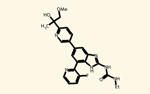 CCNC(=O)Nc1nc2cc(-c3ccc(C(C)(O)COC)nc3)cc(-c3ncccc3F)c2[nH]1